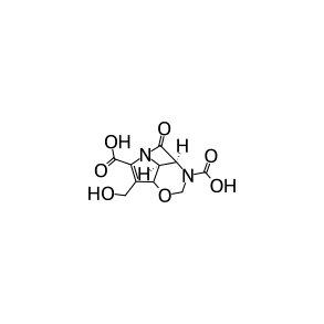 O=C(O)C1=C(CO)C2OCN(C(=O)O)[C@@H]3C(=O)N1[C@H]23